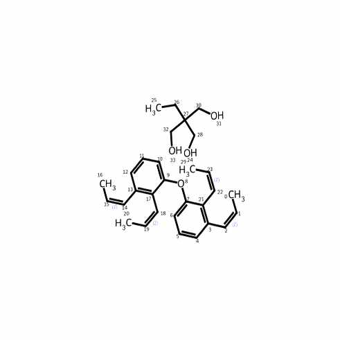 C/C=C\c1cccc(Oc2cccc(/C=C\C)c2/C=C\C)c1/C=C\C.CCC(CO)(CO)CO